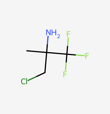 CC(N)(CCl)C(F)(F)F